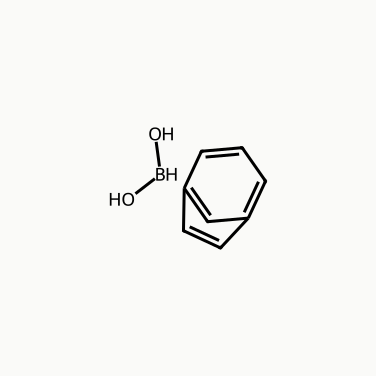 C1=Cc2cccc1c2.OBO